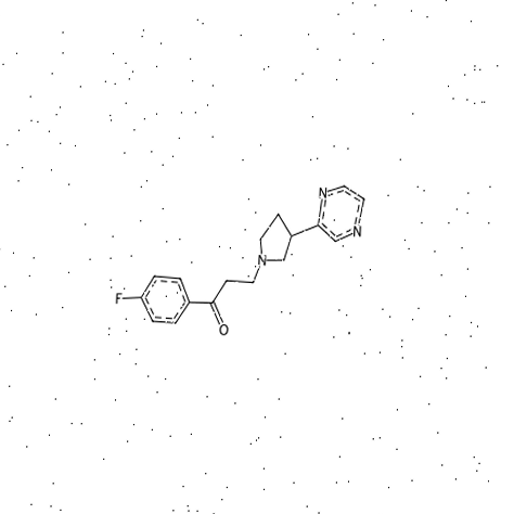 O=C(CCN1CCC(c2cnccn2)C1)c1ccc(F)cc1